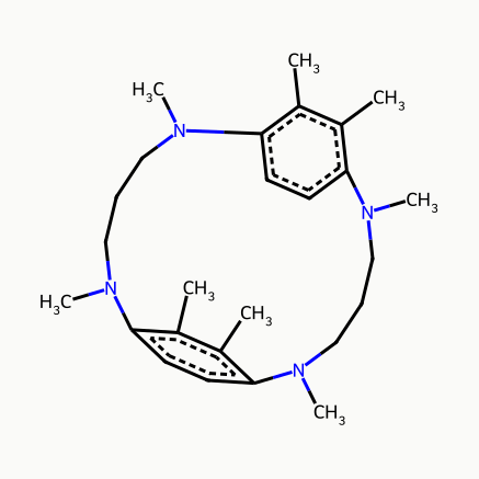 Cc1c2ccc(c1C)N(C)CCCN(C)c1ccc(c(C)c1C)N(C)CCCN2C